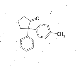 Cc1ccc(C2(c3ccccc3)CCCC2=O)cc1